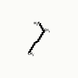 [CH2]CCCCCCCCCC#CCCCCCCCCCC(C)CCCCCC[CH2]